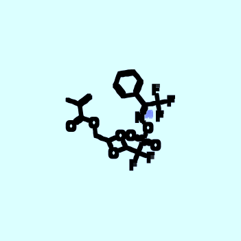 C=C(C)C(=O)OCC1OC(C(F)(F)S(=O)(=O)O/N=C(/c2ccccc2)C(F)(F)F)O1